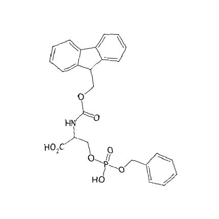 O=C(NC(COP(=O)(O)OCc1ccccc1)C(=O)O)OCC1c2ccccc2-c2ccccc21